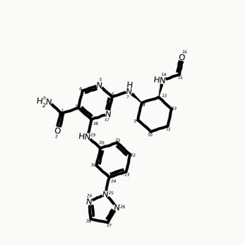 NC(=O)c1cnc(N[C@@H]2CCCC[C@@H]2NC=O)nc1Nc1cccc(-n2nccn2)c1